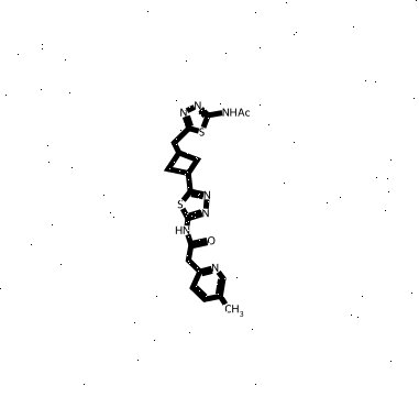 CC(=O)Nc1nnc(CC2CC(c3nnc(NC(=O)Cc4ccc(C)cn4)s3)C2)s1